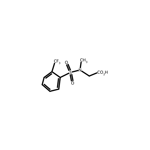 CN(CC(=O)O)S(=O)(=O)c1ccccc1C(F)(F)F